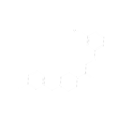 COc1cccc(OCC(=O)N2CCN(Cc3cccc(Br)c3)CC2)c1